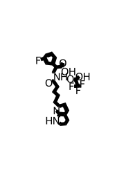 O=C(CCCCc1ccc2c(n1)NCCC2)NCC(C(=O)O)c1cccc(F)c1.O=C(O)C(F)(F)F